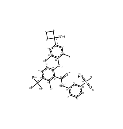 Cc1cc(C2(O)CCC2)nc(F)c1Oc1nnc(C(F)(F)F)c(C)c1C(=O)Nc1cccc(S(C)(=N)=O)c1